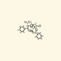 CCCCCCl.COC(SOSC(OC)c1ccccc1)c1ccccc1